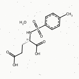 Cc1ccc(S(=O)(=O)N[C@@H](CCC(=O)O)C(=O)O)cc1.O